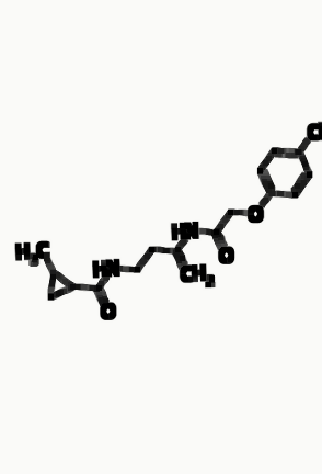 C=C(CCNC(=O)C1CC1C)NC(=O)COc1ccc(Cl)cc1